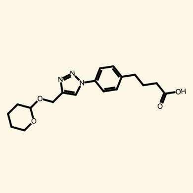 O=C(O)CCCc1ccc(-n2cc(COC3CCCCO3)nn2)cc1